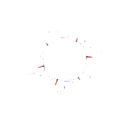 CCCCCC[C@H]1OC(=O)CNC(=O)[C@H](CCO)NC(=O)[C@H](CN)NC(=O)[C@H](C(C)CC)NC(=O)[C@H](CC(C)C)N(C)C(=O)[C@@H]1C